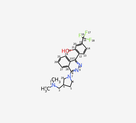 CN(C)CC1CCN(c2nnc(-c3ccc(C(F)(F)F)cc3O)c3ccccc23)C1